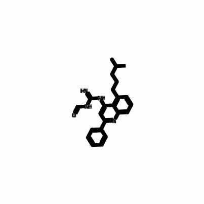 CC(C)CCCc1cccc2nc(-c3ccccc3)cc(NC(=N)NC=O)c12